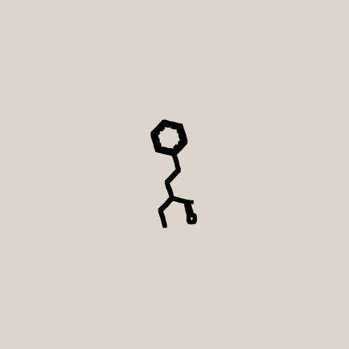 CCC([C]=O)CCc1ccccc1